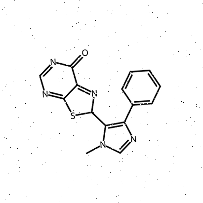 Cn1cnc(-c2ccccc2)c1C1N=C2C(=O)N=CN=C2S1